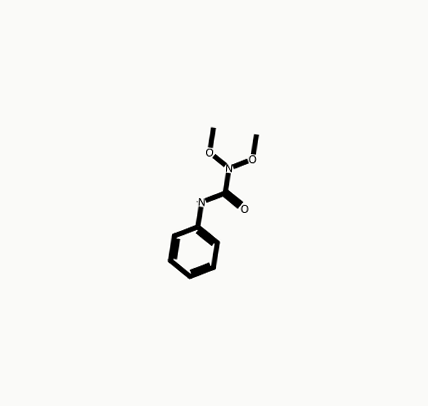 CON(OC)C(=O)[N]c1ccccc1